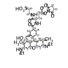 CC/N=c1/cc2oc3cc(NCC)c(C)cc3c(-c3ccc(C(=O)NC(CCC(=O)ON4C(=O)CCC4=O)C(=O)NCCS(=O)(=O)O)cc3C(=O)O)c-2cc1C